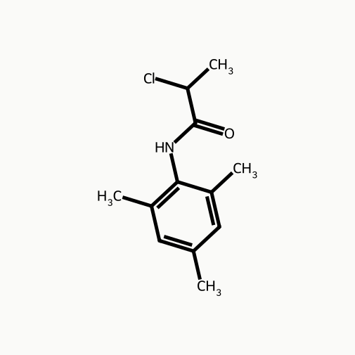 Cc1cc(C)c(NC(=O)C(C)Cl)c(C)c1